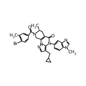 Cc1cc(C(=O)N2Cc3c(c(=O)n(-c4ccc5c(c4)ncn5C)c4c(CC5CC5)cnn34)C[C@@H]2C)ccc1Br